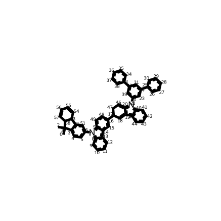 CC1(C)c2ccc(-n3c4ccccc4c4cc(C5C=c6c(n(-c7cc(-c8ccccc8)cc(-c8ccccc8)c7)c7ccccc67)=CC5)ccc43)cc2C2C=CC=CC21